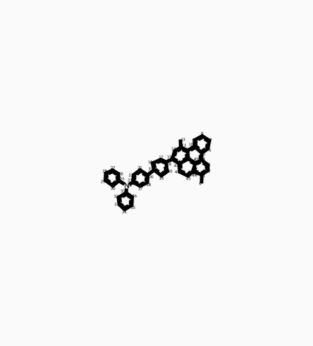 Cc1ccc2c3ccccc3c3c(C)cc(-c4ccc(-c5ccc(N(c6ccccc6)c6ccccc6)cc5)cc4)c4ccc1c2c43